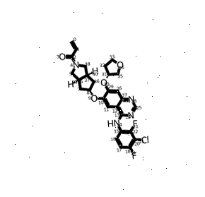 C=CC(=O)N1C[C@H]2C[C@H](Oc3cc4c(Nc5ccc(F)c(Cl)c5F)ncnc4cc3O[C@@H]3CCOC3)C[C@H]2C1